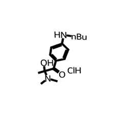 CCCCNc1ccc(C(=O)C(C)(O)N(C)C)cc1.Cl